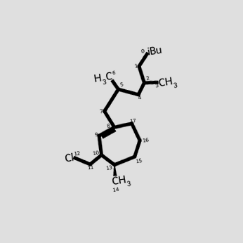 CCC(C)CC(C)CC(C)CC1=CC(CCl)[C@H](C)CCC1